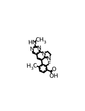 CNc1ncc2c(n1)N1CCN=C1C(c1c(C)ccc(C(=O)O)c1F)=C2